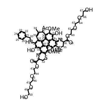 COc1c(O)c2c3c(c(OC)c4c5c(OC)c6c(c7c(O)c(NCc8ccccc8)c8c(c(c1C(C(C)=O)C(C)=C8)c24)c75)=NC(C(=O)OCCOCCOCCO)CS6)SCC(C(=O)OCCOCCOCCO)N=3